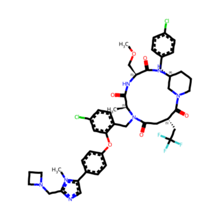 COC[C@@H]1NC(=O)[C@H](C)N(Cc2ccc(Cl)cc2Oc2ccc(-c3cnc(CN4CCC4)n3C)cc2)C(=O)C[C@@H](CC(F)(F)F)C(=O)N2CCC[C@@](Cc3ccc(Cl)cc3)(C2)NC1=O